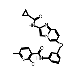 Cc1ccc(C(=O)Nc2cccc(Oc3ccc4nc(NC(=O)C5CC5)cn4c3)c2)c(Cl)n1